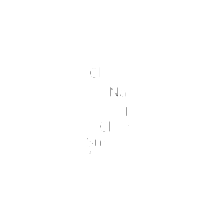 [Cl-].[Cl-].[F-].[Na+].[Sn+2]